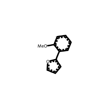 COc1[c]cccc1-c1ccco1